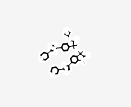 CC1(C)C(=O)N(C2COC2)c2cc(-c3nc(-c4ccncc4)no3)ccc21.CN1C(=O)C(C)(C)c2ccc(-c3cnc(-c4cccnc4)o3)cc21